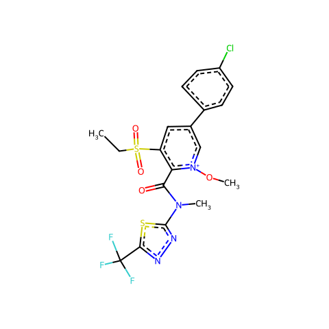 CCS(=O)(=O)c1cc(-c2ccc(Cl)cc2)c[n+](OC)c1C(=O)N(C)c1nnc(C(F)(F)F)s1